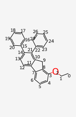 CCOc1cccc2c1Cc1c-2ccc(-c2ccccc2)c1-c1ccccc1